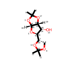 CC1(C)O[C@H]2O[C@H]([C@@H]3COC(C)(C)O3)[C@@H](O)[C@H]2O1